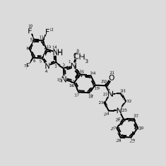 Cn1c(-c2nc3c(F)cc(F)c(F)c3[nH]2)nc2ccc(C(=O)N3CCN(c4ccccc4)CC3)cc21